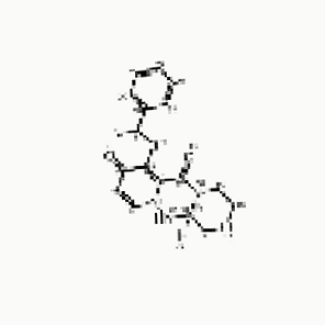 CC(Oc1c2n(ccc1=O)N[C@@H]1COCCN1C2=O)c1ccccc1